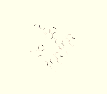 CC[C@@H]1C(=O)OC[C@@H]1Cc1cn(C)c[n+]1COC(=O)c1ccccc1C.CC[C@@H]1C(=O)OC[C@@H]1Cc1cn(C)c[n+]1COC(=O)c1ccccc1C.O=C([O-])/C=C/C(=O)[O-]